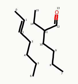 CC=CCCCC.CCCCC(C=O)CC